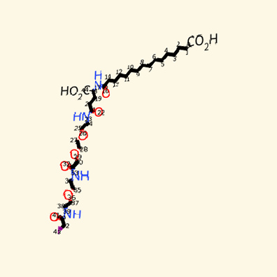 O=C(O)CCCCCCCCCCCCCCC(=O)N[C@H](CCC(=O)NCCOCCOCC(=O)NCCOCCNC(=O)CI)C(=O)O